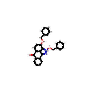 O=C1c2ccccc2-c2nn(OCc3ccccc3)c3c(OCc4ccccc4)ccc1c23